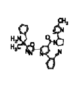 Cc1csc(C2CCCN2C(=O)c2cc(-c3nnc([C@](C)(N)Cc4ccccc4)o3)nc(-c3ccccc3C#N)c2)n1